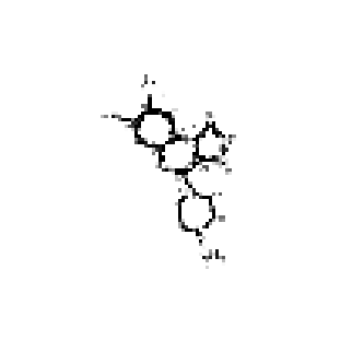 CN1CCN(c2nc3cc(F)c(C(F)(F)F)cc3n3nnnc23)CC1